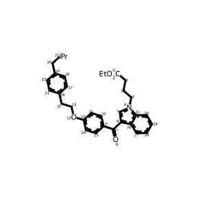 CCOC(=O)CCCn1cc(C(=O)c2ccc(OCCc3ccc(CC(C)C)cc3)cc2)c2ccccc21